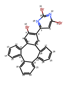 Brc1cc(-c2cc3c(cc2Br)-c2ccccc2-c2ccccc2-c2ccccc2-3)nc(Br)n1